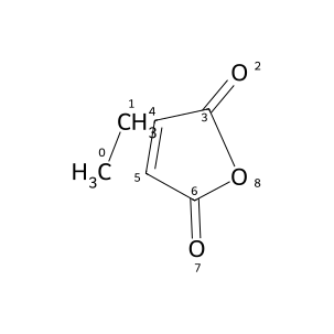 CC.O=C1C=CC(=O)O1